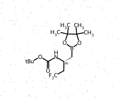 CC(C)(C)OC(=O)N[C@H](CB1OC(C)(C)C(C)(C)O1)CC(F)(F)F